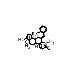 CN1C(=O)C=C[C@@]2(C)C1C(=Cc1ccccc1C(F)(F)F)C[C@@H]1[C@H]2CC[C@]2(C)C(O)CC[C@@H]12